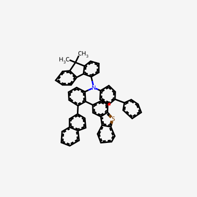 CC1(C)c2ccccc2-c2c(N(c3ccc(-c4ccccc4)cc3)c3cccc(-c4ccc5ccccc5c4)c3-c3ccc4sc5ccccc5c4c3)cccc21